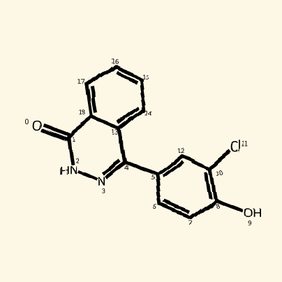 O=c1[nH]nc(-c2ccc(O)c(Cl)c2)c2ccccc12